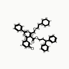 O=C(OCCC(c1ccccc1)c1ccccc1)c1c(COCCC2CCCCC2)nc(-c2ccccc2)nc1-c1cccc(Cl)c1